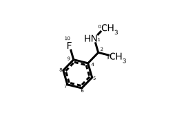 CNC(C)c1ccccc1F